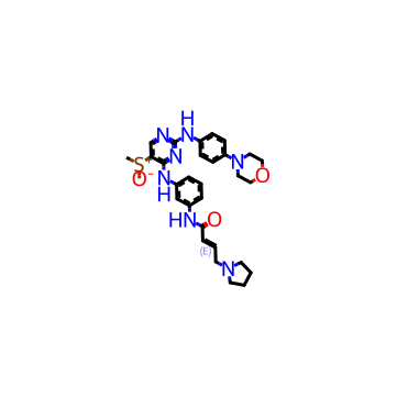 C[S+]([O-])c1cnc(Nc2ccc(N3CCOCC3)cc2)nc1Nc1cccc(NC(=O)/C=C/CN2CCCC2)c1